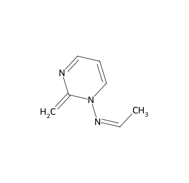 C=C1N=CC=CN1/N=C\C